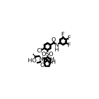 CC(=O)N(C[C@H](C)O)C[C@@]1(O)C2CC[C@H]1C[C@H](S(=O)(=O)c1cc(C(=O)Nc3cc(F)c(F)c(F)c3)ccc1Cl)C2